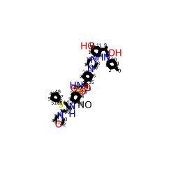 Cc1ccc(NC(O)C(C)c2cc(O)cc(N3CCN(c4ccc(C(=O)NS(=O)(=O)c5ccc(N[C@H](CCN6CCOCC6)CSc6ccccc6)c(N=O)c5)cc4)CC3)c2)cc1